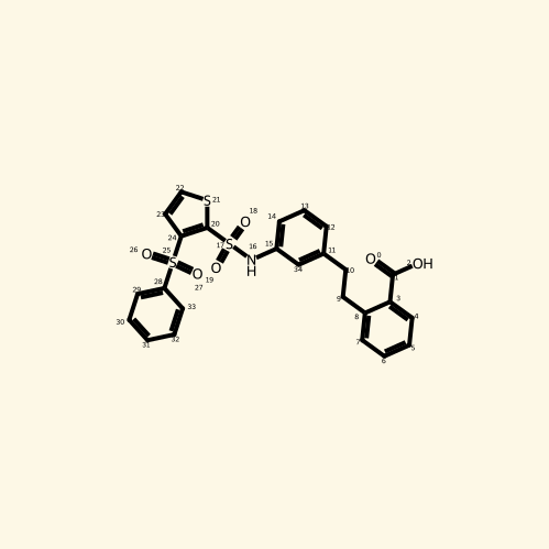 O=C(O)c1ccccc1CCc1cccc(NS(=O)(=O)c2sccc2S(=O)(=O)c2ccccc2)c1